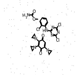 COC(N)=O.Clc1nc(Cl)nc(Nc2ccccc2Cl)n1.O=C1C=C(N2CC2)C(=O)C(N2CC2)=C1N1CC1